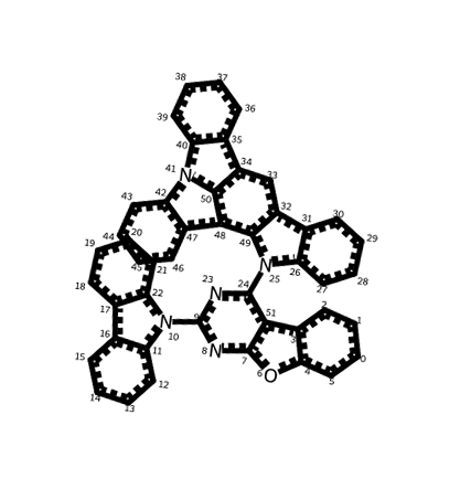 c1ccc2c(c1)oc1nc(-n3c4ccccc4c4ccccc43)nc(-n3c4ccccc4c4cc5c6ccccc6n6c7ccccc7c(c43)c56)c12